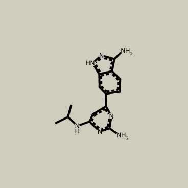 CC(C)Nc1cc(-c2ccc3c(N)n[nH]c3c2)nc(N)n1